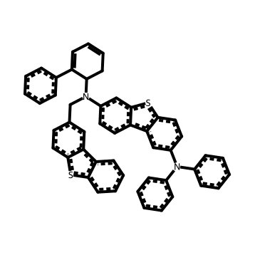 C1=CCC(N(Cc2ccc3sc4ccccc4c3c2)c2ccc3c(c2)sc2ccc(N(c4ccccc4)c4ccccc4)cc23)C(c2ccccc2)=C1